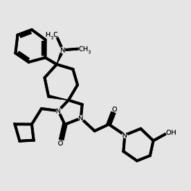 CN(C)[C@]1(c2ccccc2)CC[C@@]2(CC1)CN(CC(=O)N1CCCC(O)C1)C(=O)N2CC1CCC1